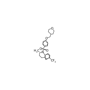 C[C@H]1CCc2cc(C(F)(F)F)ccc2N1S(=O)(=O)c1ccc(OCC2CCOCC2)cc1